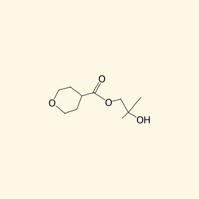 CC(C)(O)COC(=O)C1CCOCC1